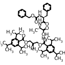 CC(C)c1cc(C(C)C)c(C(=O)OCC(=O)COC(=O)c2c(C(C)C)cc(C(C)C)cc2C(C)C)c(C(C)C)c1.C[C@H](NC(=O)[C@H](Cc1ccccc1)NC(=O)OCc1ccccc1)C(=O)O